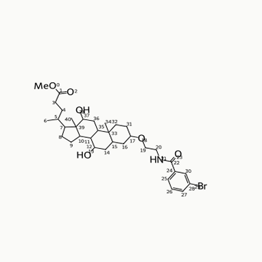 COC(=O)CCC(C)C1CCC2C3C(O)CC4CC(OCCNC(=O)c5cccc(Br)c5)CCC4(C)C3CC(O)C12C